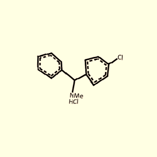 CNC(c1ccccc1)c1ccc(Cl)cc1.Cl